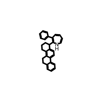 C1=CNC(C2CCCc3c2ccc2c3CCc3ccccc3-2)=C(c2ccccc2)C=C1